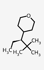 CC[C@@H](C1CCOCC1)C(C)(C)C